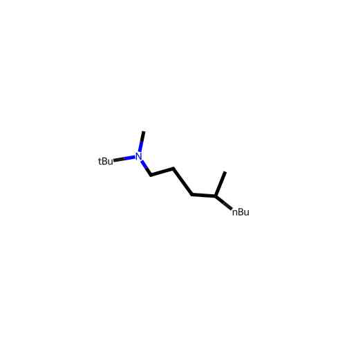 CCCCC(C)CCCN(C)C(C)(C)C